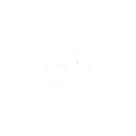 COC(C[O])c1nnc(C(F)(F)F)s1